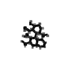 COc1cc2ccccc2c(-c2c(OC)ccc(F)c2C=O)c1OC